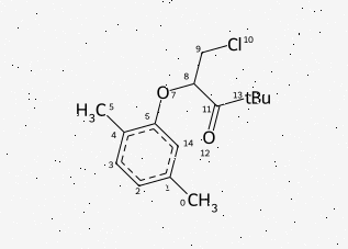 Cc1ccc(C)c(OC(CCl)C(=O)C(C)(C)C)c1